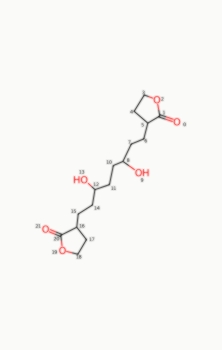 O=C1OCCC1CCC(O)CCC(O)CCC1CCOC1=O